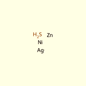 S.[Ag].[Ni].[Zn]